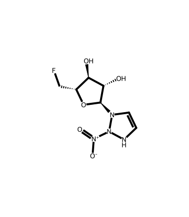 O=[N+]([O-])N1NC=CN1[C@H]1O[C@H](CF)[C@@H](O)[C@@H]1O